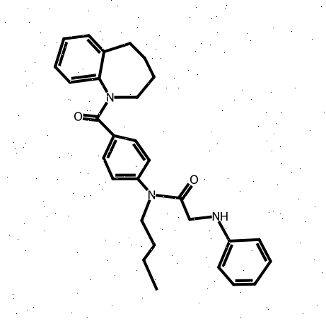 CCCCN(C(=O)CNc1ccccc1)c1ccc(C(=O)N2CCCCc3ccccc32)cc1